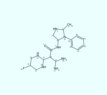 CC1NCC(NC(=O)C(C(N)N)C2NCC(F)CN2)N1c1ccccc1